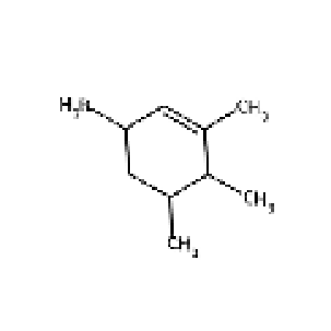 BC1C=C(C)C(C)C(C)C1